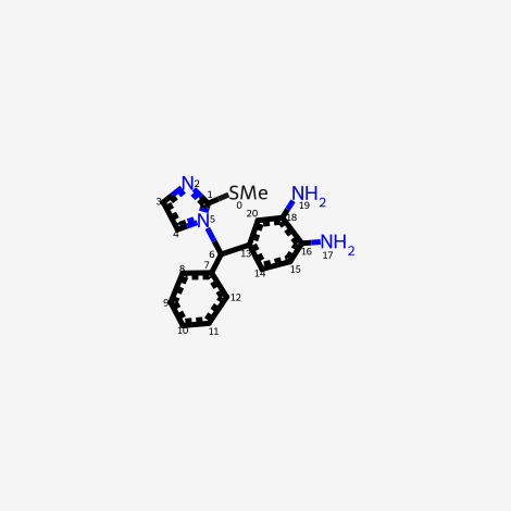 CSc1nccn1C(c1ccccc1)c1ccc(N)c(N)c1